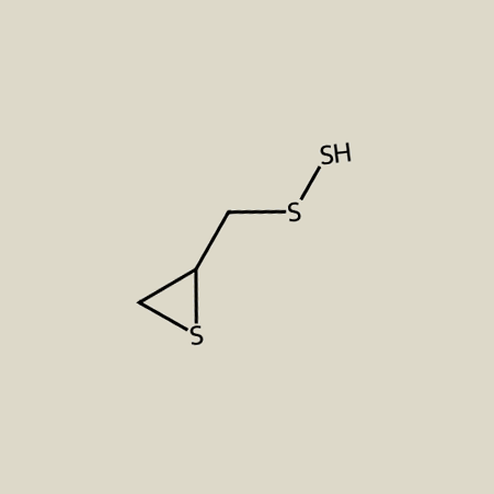 SSCC1CS1